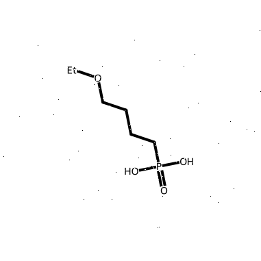 CCOCCCCP(=O)(O)O